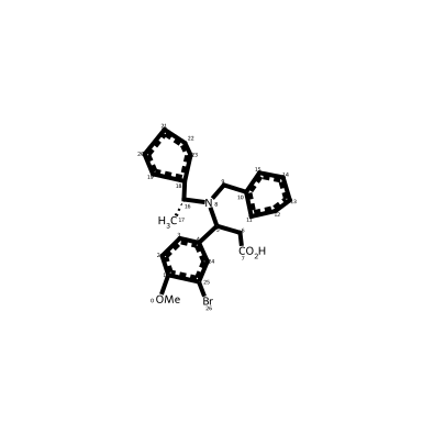 COc1ccc(C(CC(=O)O)N(Cc2ccccc2)[C@H](C)c2ccccc2)cc1Br